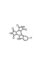 O=c1[nH]c(=O)c2c1c1[nH]c3ccc(F)cc3c1c1c(=O)[nH]c(=O)c21